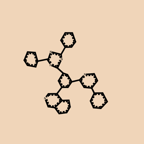 c1ccc(-c2ccnc(-c3cc(-c4nc(-c5ccccc5)nc(-c5ccccc5)n4)cc(-c4cncc5ccccc45)c3)c2)cc1